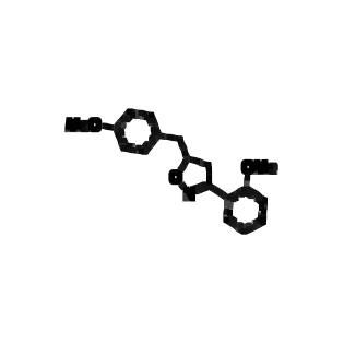 COc1ccc(CC2CC(c3ccccc3OC)=NO2)cc1